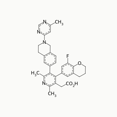 Cc1cc(N2CCc3cc(-c4c(C)nc(C)c(CC(=O)O)c4-c4cc(F)c5c(c4)CCCO5)ccc3C2)ncn1